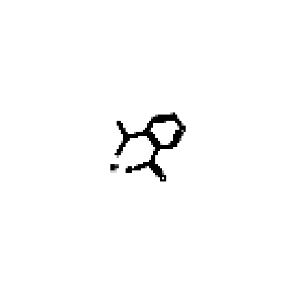 CN(C)c1ccncc1C(=O)[O-].[K+]